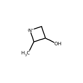 CC1[N+]CC1O